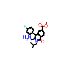 COC(=O)c1ccc2c(=O)n(CC(C)C)c(CN)c(-c3ccc(F)cc3)c2c1